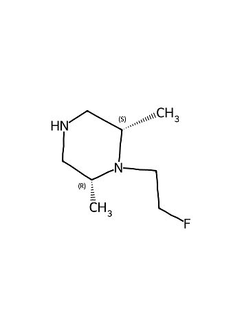 C[C@@H]1CNC[C@H](C)N1CCF